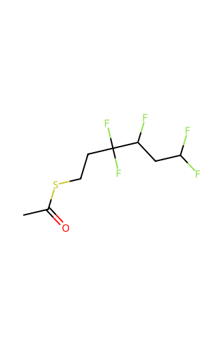 CC(=O)SCCC(F)(F)C(F)CC(F)F